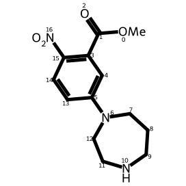 COC(=O)c1cc(N2CCCNCC2)ccc1[N+](=O)[O-]